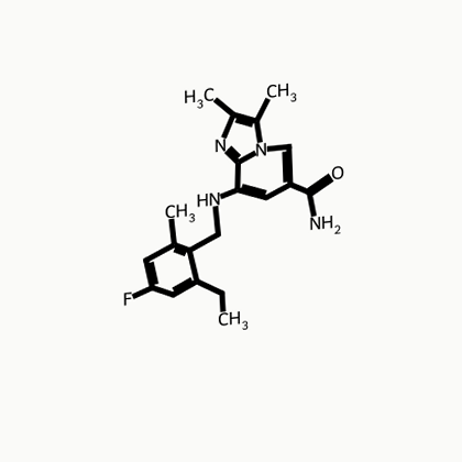 CCc1cc(F)cc(C)c1CNc1cc(C(N)=O)cn2c(C)c(C)nc12